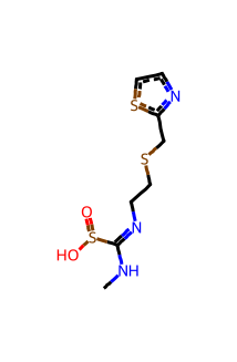 CNC(=NCCSCc1nccs1)S(=O)O